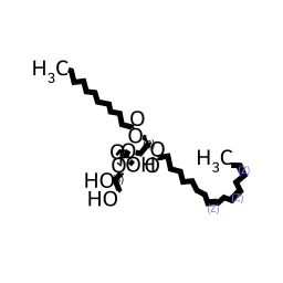 CC/C=C\C/C=C\C/C=C\CCCCCCCC(=O)O[C@H](COC(=O)CCCCCCCCCCC)COP(=O)(O)OC[C@@H](O)CO